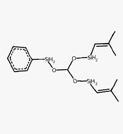 CC(C)=C[SiH2]OC(O[SiH2]C=C(C)C)O[SiH2]c1ccccc1